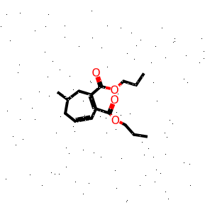 CCCOC(=O)C1=C(C(=O)OCCC)CC(C)CC=C1